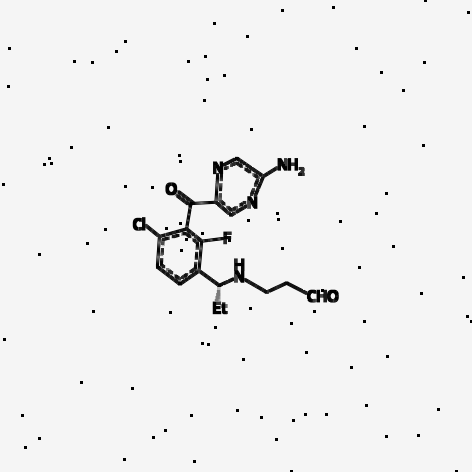 CC[C@@H](NCCC=O)c1ccc(Cl)c(C(=O)c2cnc(N)cn2)c1F